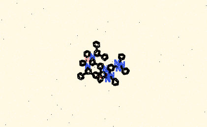 c1ccc(-c2cc(-c3ccccc3)cc(N3c4ccccc4B4c5ccccc5N(c5cc(-c6ccccc6)cc(-c6ccccc6)c5)c5cc(-c6ccc7c(c6)c6ccccc6n7-c6ccc(-c7nc(-c8ccccc8)nc(-c8ccccc8)n7)cc6-c6nc(-c7ccccc7)nc(-c7ccccc7)n6)cc3c54)c2)cc1